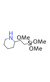 CO[Si](CCC1CCCCN1)(OC)OC